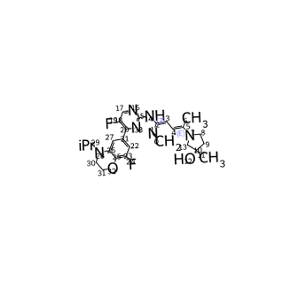 C=N/C(=C\C=C(/C)N1CCC(C)(O)C1)Nc1ncc(F)c(-c2cc(F)c3c(c2)N(C(C)C)CCO3)n1